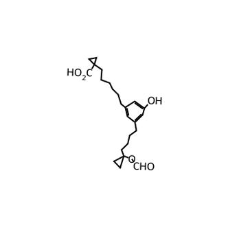 O=COC1(CCCCc2cc(O)cc(CCCCCCC3(C(=O)O)CC3)c2)CC1